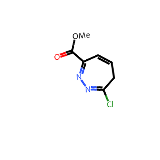 COC(=O)C1=NN=C(Cl)CC=C1